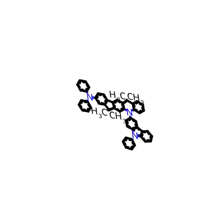 CC1(C)c2cc(N(c3ccccc3)c3ccccc3)ccc2-c2cc3c(cc21)N(c1ccc2c(c1)c1ccccc1n2-c1ccccc1)c1ccccc1C3(C)C